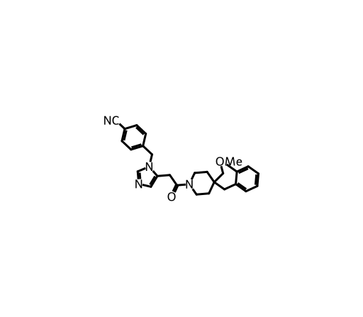 COCC1(Cc2ccccc2C)CCN(C(=O)Cc2cncn2Cc2ccc(C#N)cc2)CC1